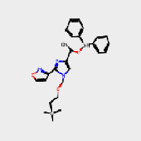 CC(C)(C)C(O[SiH](c1ccccc1)c1ccccc1)c1cn(COCC[Si](C)(C)C)c(-c2ccon2)n1